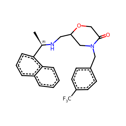 C[C@@H](NCC1CN(Cc2ccc(C(F)(F)F)cc2)C(=O)CO1)c1cccc2ccccc12